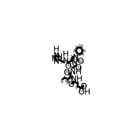 CC[C@H](C)[C@H](NC(=O)CCC(=O)O)C(=O)NCC(=O)N1C(=O)N(C2CCCCC2)CC1C(=O)NCc1nn[nH]n1